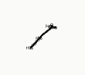 O=[C]CC[C@H](NC(=O)CCCCCCCCCCCCCCCCC(=O)NCCOCCOCCOCCOCCC(=O)O)C(=O)O